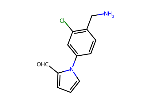 NCc1ccc(-n2cccc2C=O)cc1Cl